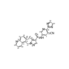 N#Cc1cc(NC(=O)c2cnn(Cc3cccc4ncccc34)c2C(F)(F)F)cnc1-n1nccn1